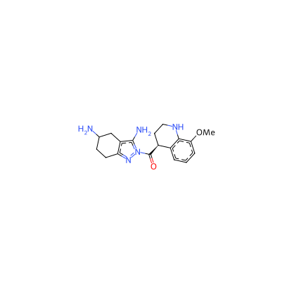 COc1cccc2c1NCC[C@@H]2C(=O)n1nc2c(c1N)CC(N)CC2